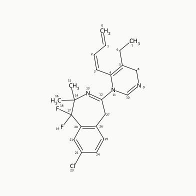 C=C/C=C\C1=C(CC)CN=CN1C1=NC(C)(C)C(F)(F)c2cc(Cl)ccc2C1